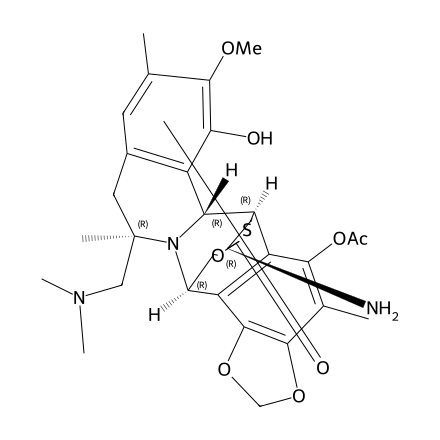 COc1c(C)cc2c(c1O)[C@@H]1[C@@H]3SC[C@H](N)C(=O)OC[C@@H](c4c5c(c(C)c(OC(C)=O)c43)OCO5)N1[C@@](C)(CN(C)C)C2